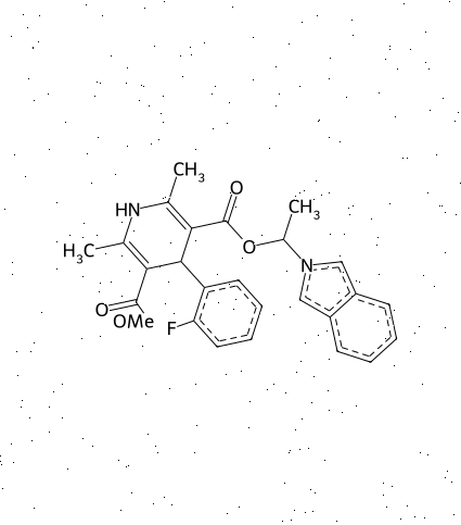 COC(=O)C1=C(C)NC(C)=C(C(=O)OC(C)n2cc3ccccc3c2)C1c1ccccc1F